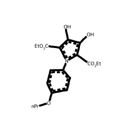 CCCOc1ccc(-n2c(C(=O)OCC)c(O)c(O)c2C(=O)OCC)cc1